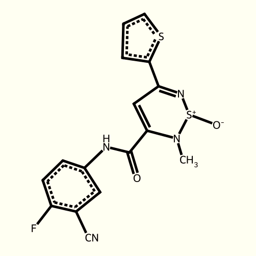 CN1C(C(=O)Nc2ccc(F)c(C#N)c2)=CC(c2cccs2)=N[S+]1[O-]